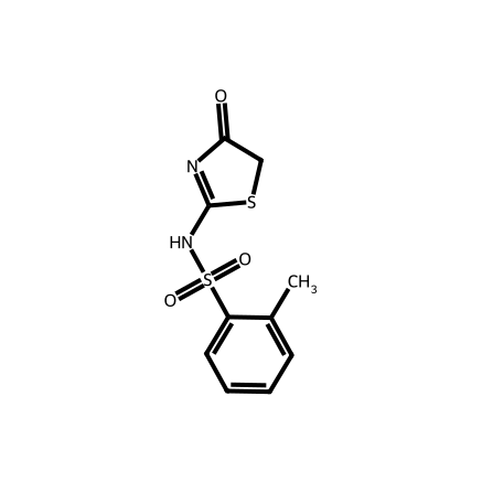 Cc1ccccc1S(=O)(=O)NC1=NC(=O)CS1